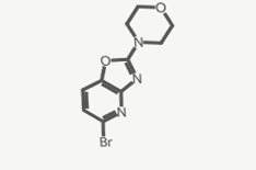 Brc1ccc2oc(N3CCOCC3)nc2n1